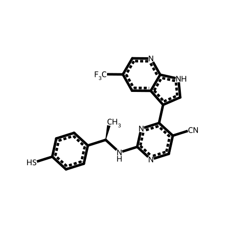 C[C@@H](Nc1ncc(C#N)c(-c2c[nH]c3ncc(C(F)(F)F)cc23)n1)c1ccc(S)cc1